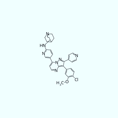 COc1cc(-c2c(-c3ccncc3)nn3c(-c4ccc(NC5CN6CCC5CC6)nc4)ccnc23)ccc1Cl